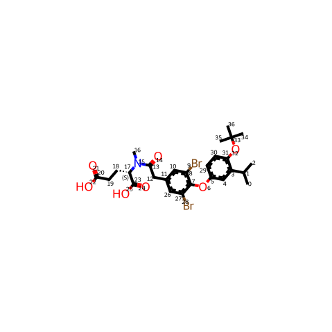 CC(C)c1cc(Oc2c(Br)cc(CC(=O)N(C)[C@@H](CCC(=O)O)C(=O)O)cc2Br)ccc1OC(C)(C)C